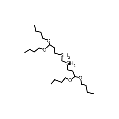 CCCCOC(CC[SiH2]C[SiH2]CCC(OCCCC)OCCCC)OCCCC